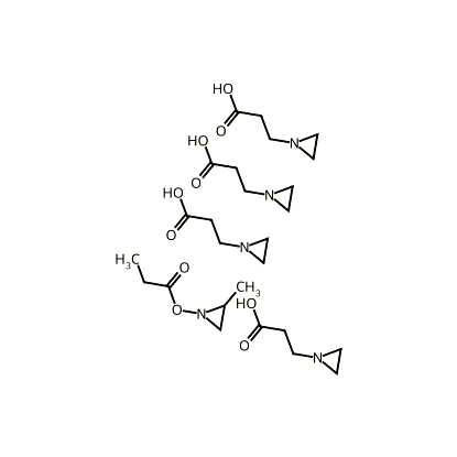 CCC(=O)ON1CC1C.O=C(O)CCN1CC1.O=C(O)CCN1CC1.O=C(O)CCN1CC1.O=C(O)CCN1CC1